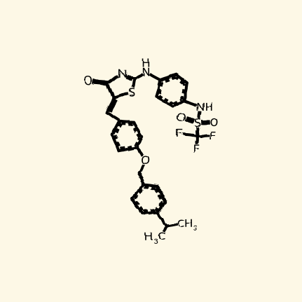 CC(C)c1ccc(COc2ccc(/C=C3\SC(Nc4ccc(NS(=O)(=O)C(F)(F)F)cc4)=NC3=O)cc2)cc1